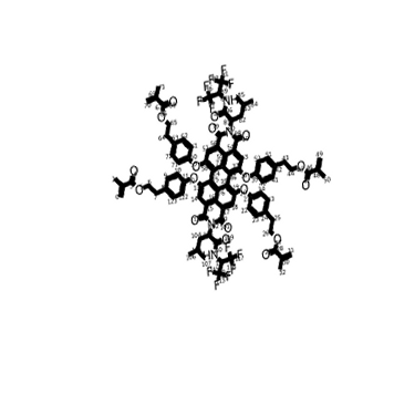 C=C(C)C(=O)OCCc1ccc(Oc2cc3c4c(cc(Oc5ccc(CCOC(=O)C(=C)C)cc5)c5c6c(Oc7ccc(CCOC(=O)C(=C)C)cc7)cc7c8c(cc(Oc9ccc(CCOC(=O)C(=C)C)cc9)c(c2c45)c86)C(=O)N(C(CC(C)C)C(=O)NC(C(F)(F)F)C(F)(F)F)C7=O)C(=O)N(C(CC(C)C)C(=O)NC(C(F)(F)F)C(F)(F)F)C3=O)cc1